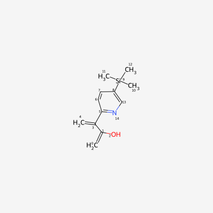 C=C(O)C(=C)c1ccc([Si](C)(C)C)cn1